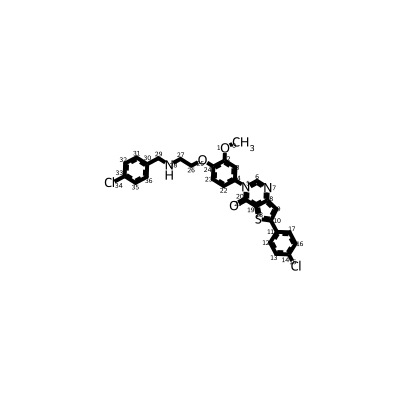 COc1cc(-n2cnc3cc(-c4ccc(Cl)cc4)sc3c2=O)ccc1OCCNCc1ccc(Cl)cc1